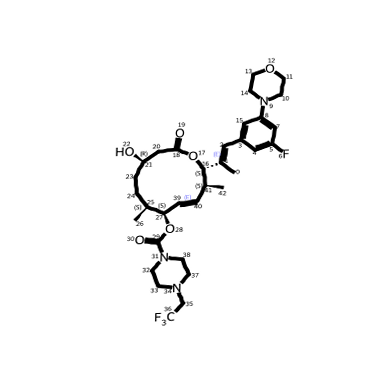 C/C(=C\c1cc(F)cc(N2CCOCC2)c1)[C@H]1OC(=O)C[C@H](O)CC[C@H](C)[C@H](OC(=O)N2CCN(CC(F)(F)F)CC2)/C=C/[C@@H]1C